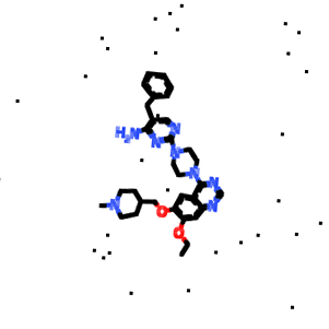 CCOc1cc2ncnc(N3CCN(c4ncc(Cc5ccccc5)c(N)n4)CC3)c2cc1OCC1CCN(C)CC1